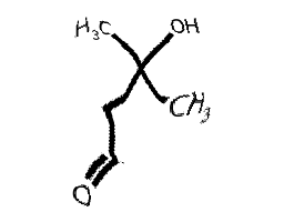 CC(C)(O)C[C]=O